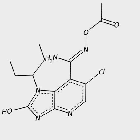 CCC(CC)n1c(O)nc2ncc(Cl)c(/C(N)=N/OC(C)=O)c21